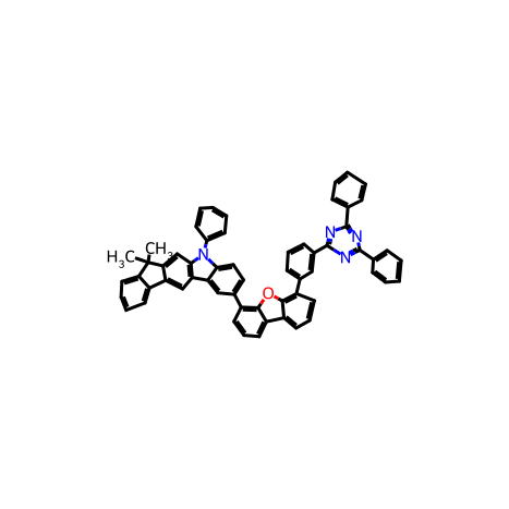 CC1(C)c2ccccc2-c2cc3c4cc(-c5cccc6c5oc5c(-c7cccc(-c8nc(-c9ccccc9)nc(-c9ccccc9)n8)c7)cccc56)ccc4n(-c4ccccc4)c3cc21